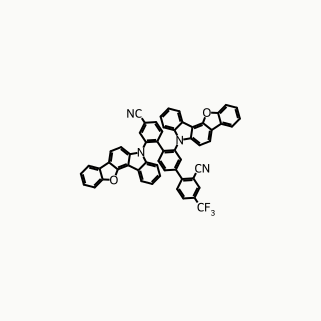 N#Cc1ccc(-c2ccc(-c3ccc(C(F)(F)F)cc3C#N)cc2-n2c3ccccc3c3c4oc5ccccc5c4ccc32)c(-n2c3ccccc3c3c4oc5ccccc5c4ccc32)c1